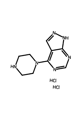 Cl.Cl.c1nc(N2CCNCC2)c2cn[nH]c2n1